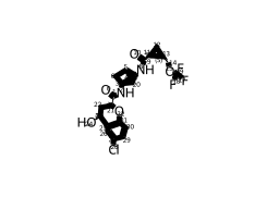 O=C(NC12CC(C1)C(NC(=O)[C@@H]1C[C@@H]1COC(F)(F)F)C2)[C@H]1C[C@@H](O)c2cc(Cl)ccc2O1